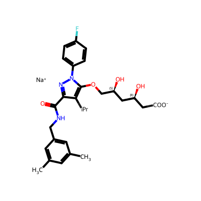 Cc1cc(C)cc(CNC(=O)c2nn(-c3ccc(F)cc3)c(OC[C@@H](O)C[C@@H](O)CC(=O)[O-])c2C(C)C)c1.[Na+]